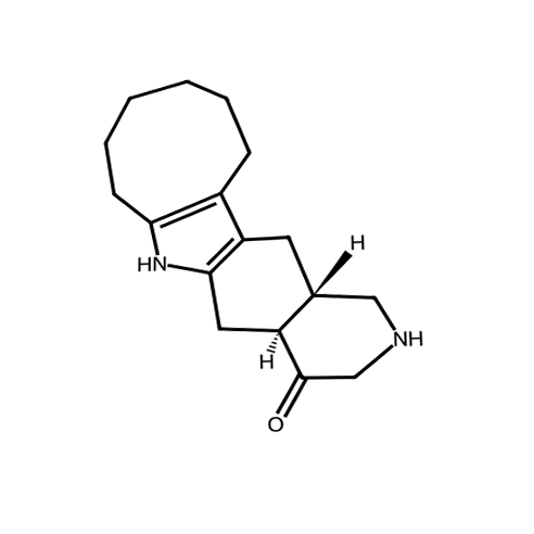 O=C1CNC[C@H]2Cc3c([nH]c4c3CCCCCC4)C[C@H]12